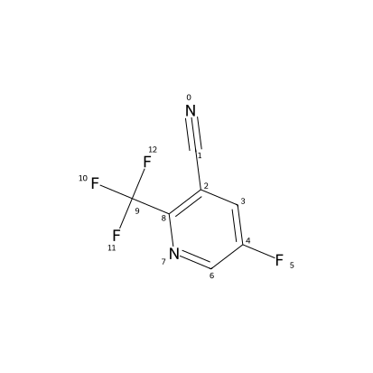 N#Cc1cc(F)cnc1C(F)(F)F